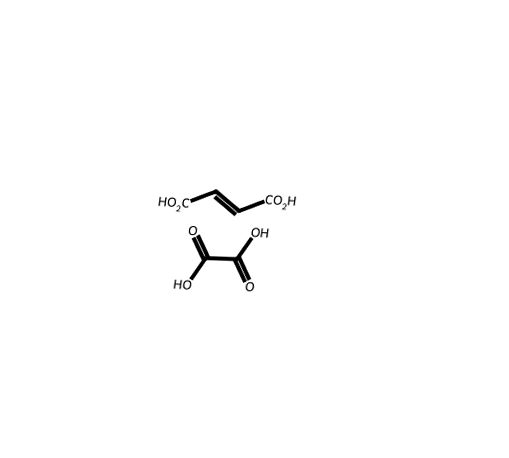 O=C(O)C(=O)O.O=C(O)C=CC(=O)O